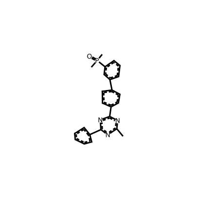 Cc1nc(-c2ccccc2)nc(-c2ccc(-c3cccc(P(C)(C)=O)c3)cc2)n1